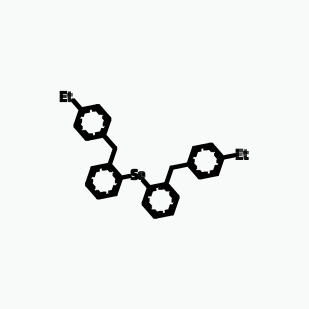 CCc1ccc(Cc2ccccc2[Se]c2ccccc2Cc2ccc(CC)cc2)cc1